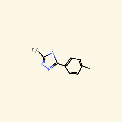 Cc1c[c]c(-c2nnc(C(F)(F)F)[nH]2)cc1